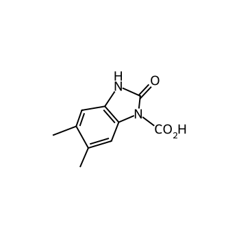 Cc1cc2[nH]c(=O)n(C(=O)O)c2cc1C